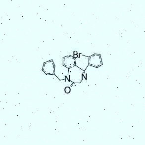 O=C1CN=C(c2ccccc2Br)c2ccccc2N1Cc1ccccc1